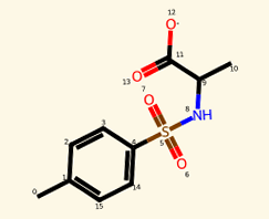 Cc1ccc(S(=O)(=O)NC(C)C([O])=O)cc1